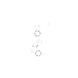 CCOC(=O)C1(C(=O)O)Oc2ccc(CN/C=C3\C(=O)NC(=O)c4ccc(Br)cc43)cc2O1